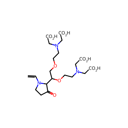 C=CN1CCC(=O)C1C(COCCN(CC(=O)O)CC(=O)O)OCCN(CC(=O)O)CC(=O)O